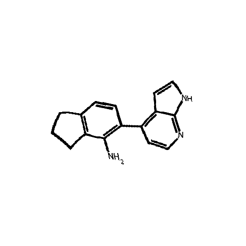 Nc1c(-c2ccnc3[nH]ccc23)ccc2c1CCC2